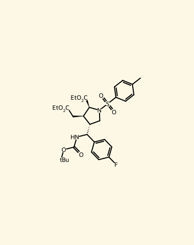 CCOC(=O)C[C@@H]1[C@@H](C(NC(=O)OC(C)(C)C)c2ccc(F)cc2)CN(S(=O)(=O)c2ccc(C)cc2)[C@@H]1C(=O)OCC